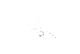 CCCC[PH](CCCC)(CCCC)Cc1sc(Br)c(C)c1CC(F)(F)C(F)(F)C(F)(F)F